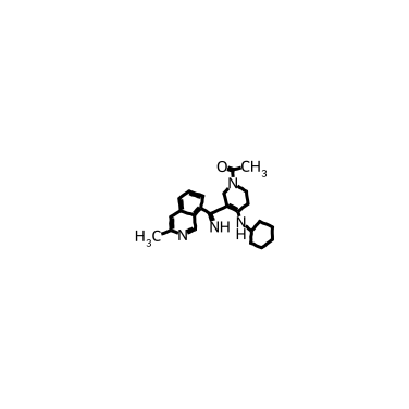 CC(=O)N1CCC(NC2CCCCC2)=C(C(=N)c2cccc3cc(C)ncc23)C1